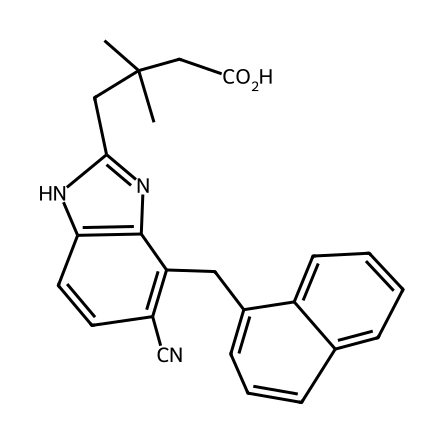 CC(C)(CC(=O)O)Cc1nc2c(Cc3cccc4ccccc34)c(C#N)ccc2[nH]1